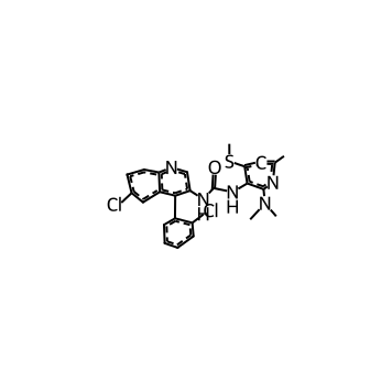 CSc1cc(C)nc(N(C)C)c1NC(=O)Nc1cnc2ccc(Cl)cc2c1-c1ccccc1Cl